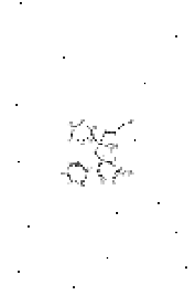 CCCCC(O)(Cc1ccccc1-c1ccccc1)N1CCOCC1.Cl